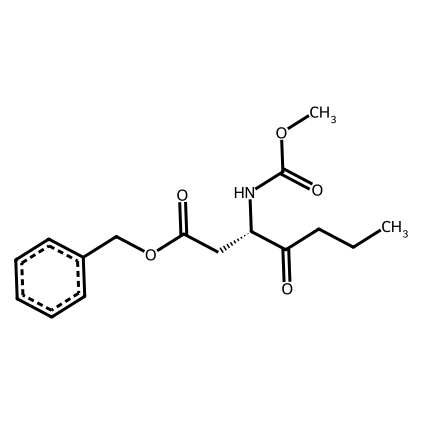 CCCC(=O)[C@H](CC(=O)OCc1ccccc1)NC(=O)OC